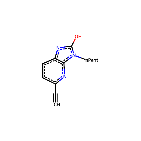 C#Cc1ccc2nc(O)n(CCCCC)c2n1